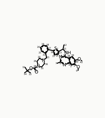 COc1cc2nc(C)nc(NC(C)c3ccc(-c4ccccc4CN4CCN(C(=O)OC(C)(C)C)CC4)s3)c2cc1OC